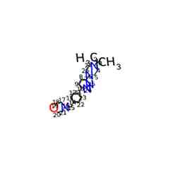 CC(C)N1CCN(c2ccc(-c3ccc(CN4CCOCC4)cc3)nn2)CC1